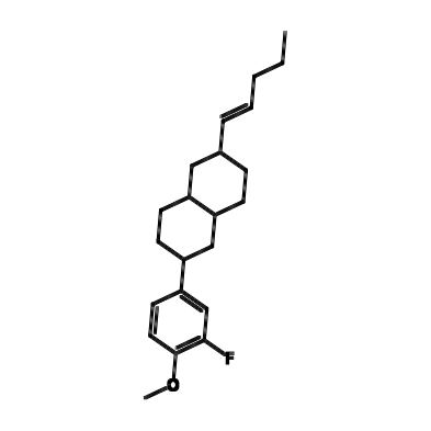 CCCC=CC1CCC2CC(c3ccc(OC)c(F)c3)CCC2C1